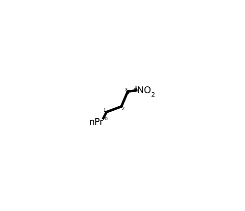 CCCCC[C][N+](=O)[O-]